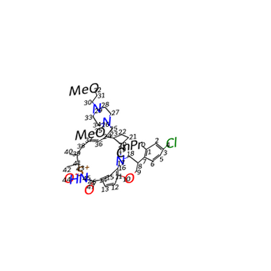 CCCc1cc(Cl)ccc1C1COc2ccc3cc2N(C1)CC1CCC1C(CN1CCN(CCOC)CC1)(OC)/C=C/CC(C)C(C)[S+]([O-])NC3=O